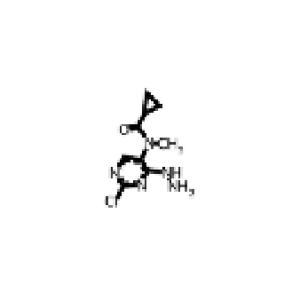 CN(C(=O)C1CC1)c1cnc(Cl)nc1NN